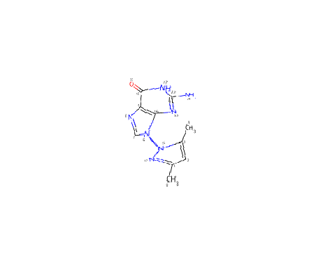 Cc1cc(C)n(-n2cnc3c(=O)[nH]c(N)nc32)n1